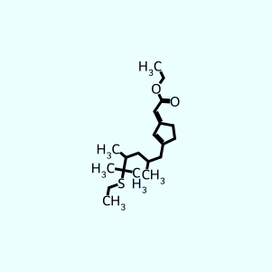 CCOC(=O)/C=C1/C=C(CC(C)CC(C)C(C)(C)SCC)CC1